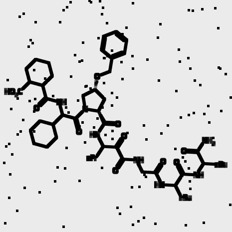 CCCCC(NC(=O)C(CCCC)NC(=O)CNC(=O)C(=O)C(CCC)NC(=O)[C@@H]1C[C@@H](OCc2ccccc2)CN1C(=O)C(NC(=O)C1CCCCC1C(=O)O)C1CCCCC1)C(N)=O